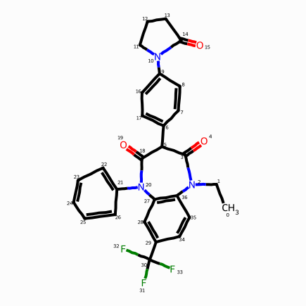 CCN1C(=O)C(c2ccc(N3CCCC3=O)cc2)C(=O)N(c2ccccc2)c2cc(C(F)(F)F)ccc21